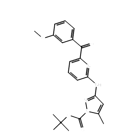 COc1cccc(C(=O)c2cccc(Nc3cc(C)n(C(=O)OC(C)(C)C)n3)n2)c1